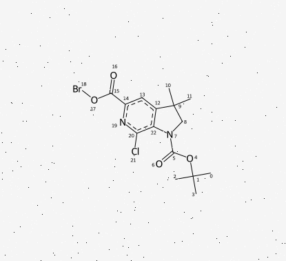 CC(C)(C)OC(=O)N1CC(C)(C)c2cc(C(=O)OBr)nc(Cl)c21